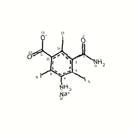 NC(=O)c1c(I)c(N)c(I)c(C(=O)[O-])c1I.[Na+]